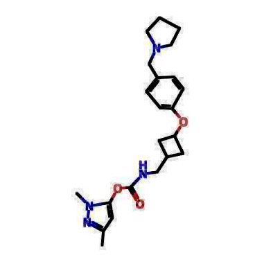 Cc1cc(OC(=O)NCC2CC(Oc3ccc(CN4CCCC4)cc3)C2)n(C)n1